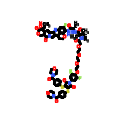 CC[C@@]1(O)C(=O)OCc2c1cc1n(c2=O)Cc2c-1nc1cc(F)c(NC(=O)[C@H](C)NC(=O)C(C)(NC(=O)COCCOCCOCCOc3c(F)cc(N4C(=O)C(Sc5ccc(C(=O)N6CCOCC6)cc5)=C(Sc5ccc(C(=O)N6CCOCC6)cc5)C4=O)cc3F)C(C)C)c3c1c2CCO3